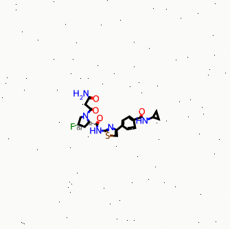 NC(=O)[CH]C(=O)N1C[C@@H](F)C[C@H]1C(=O)Nc1nc(-c2ccc(C(=O)NC3CC3)cc2)cs1